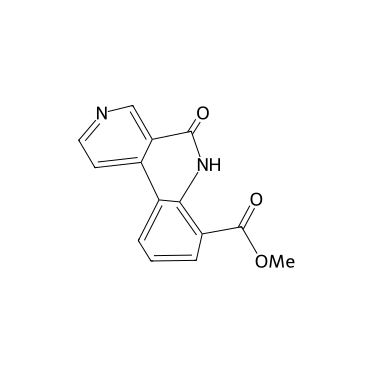 COC(=O)c1cccc2c1[nH]c(=O)c1cnccc12